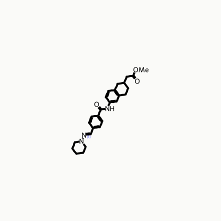 COC(=O)CC1CCc2cc(NC(=O)c3ccc(/C=N/N4CCCCC4)cc3)ccc2C1